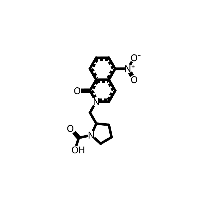 O=C(O)N1CCCC1Cn1ccc2c([N+](=O)[O-])cccc2c1=O